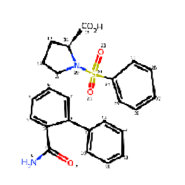 NC(=O)c1ccccc1-c1ccccc1.O=C(O)[C@@H]1CCCN1S(=O)(=O)c1ccccc1